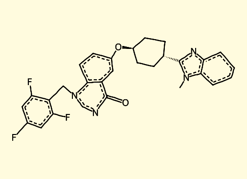 Cn1c2ccccc2nc1[C@H]1CC[C@H](Oc2ccc3c(c2)c(=O)ncn3Cc2c(F)cc(F)cc2F)CC1